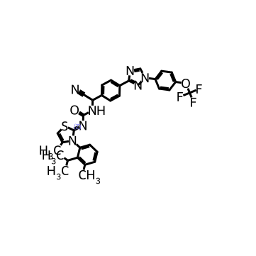 Cc1cccc(-n2c(C)cs/c2=N\C(=O)NC(C#N)c2ccc(-c3ncn(-c4ccc(OC(F)(F)F)cc4)n3)cc2)c1C(C)C